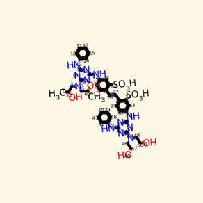 CC(O)CN(CC(C)O)c1nc(Nc2ccccc2)nc(Nc2ccc(/C=C/c3ccc(Nc4nc(Nc5ccccc5)nc(N(CCO)CCO)n4)cc3S(=O)(=O)O)c(S(=O)(=O)O)c2)n1